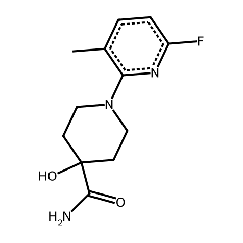 Cc1ccc(F)nc1N1CCC(O)(C(N)=O)CC1